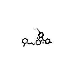 Cl.O=C1CCCCN1CCCN1CC[C@@H]2[C@@H](C1)c1cc(F)ccc1N2c1ccc(F)cc1